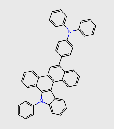 c1ccc(N(c2ccccc2)c2ccc(-c3cc4c5ccccc5c5c(c6ccccc6n5-c5ccccc5)c4c4ccccc34)cc2)cc1